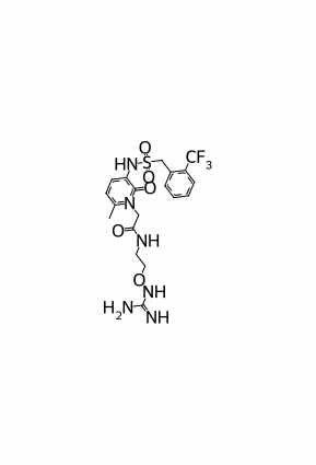 Cc1ccc(NS(=O)(=O)Cc2ccccc2C(F)(F)F)c(=O)n1CC(=O)NCCONC(=N)N